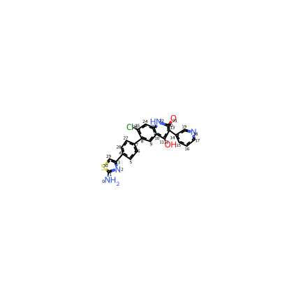 Nc1nc(-c2ccc(-c3cc4c(O)c(-c5cccnc5)c(=O)[nH]c4cc3Cl)cc2)cs1